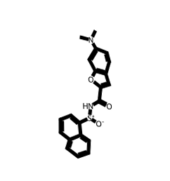 CN(C)c1ccc2cc(C(=O)N[S+]([O-])c3cccc4ccccc34)oc2c1